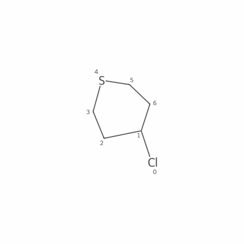 ClC1CCSCC1